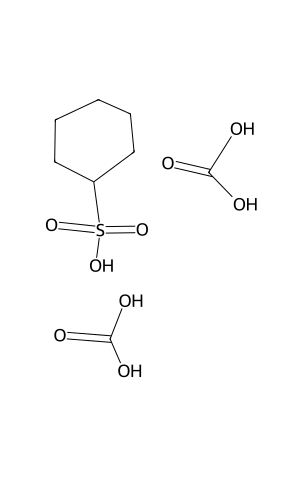 O=C(O)O.O=C(O)O.O=S(=O)(O)C1CCCCC1